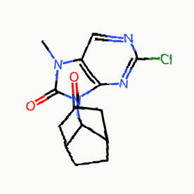 Cn1c(=O)n(C2C3CCC2CC(=O)C3)c2nc(Cl)ncc21